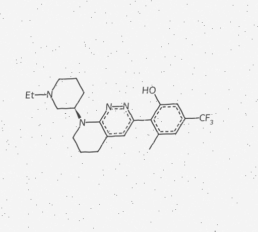 CCN1CCC[C@@H](N2CCCc3cc(-c4c(C)cc(C(F)(F)F)cc4O)nnc32)C1